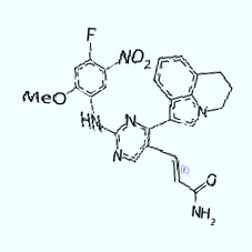 COc1cc(F)c([N+](=O)[O-])cc1Nc1ncc(/C=C/C(N)=O)c(-c2cn3c4c(cccc24)CCC3)n1